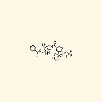 CS(=O)(=O)c1cc(C(=O)N2C[C@@H]3[C@H]4CN(C(=O)c5ccccc5)C[C@H]4[C@@H]3C2)cnc1OCC(F)(F)F